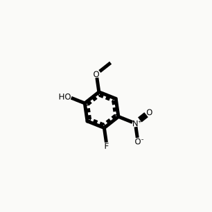 COc1cc([N+](=O)[O-])c(F)cc1O